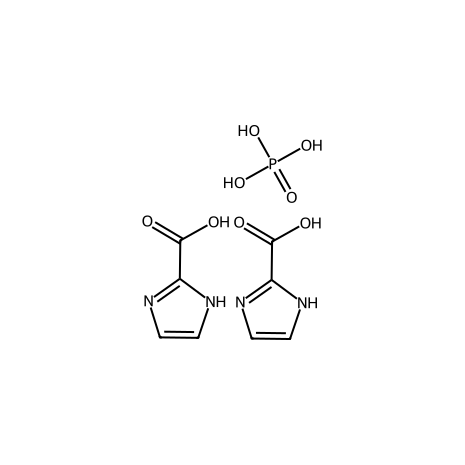 O=C(O)c1ncc[nH]1.O=C(O)c1ncc[nH]1.O=P(O)(O)O